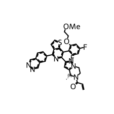 C=CC(=O)N1CCn2nc(-c3nc(-c4ccc5cnncc5c4)c4ccsc4c3-c3c(F)cc(F)cc3OCCOC)cc2[C@H]1C